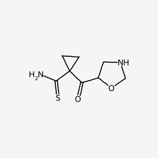 NC(=S)C1(C(=O)C2CNCO2)CC1